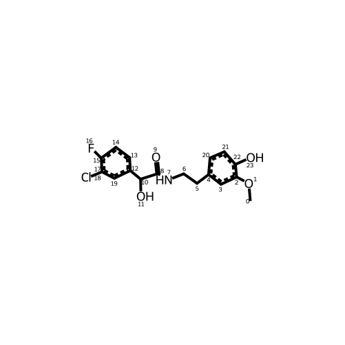 COc1cc(CCNC(=O)C(O)c2ccc(F)c(Cl)c2)ccc1O